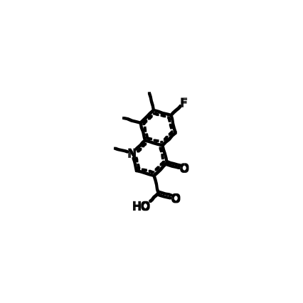 Cc1c(F)cc2c(=O)c(C(=O)O)cn(C)c2c1C